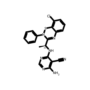 C[C@H](Nc1ncnc(N)c1C#N)C1=Nc2cccc(Cl)c2SN1c1ccccc1